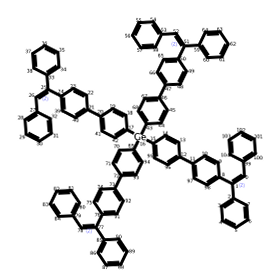 C(=C(\c1ccccc1)c1ccc(-c2cc[c]([Ge]([c]3ccc(-c4ccc(/C(=C\c5ccccc5)c5ccccc5)cc4)cc3)([c]3ccc(-c4ccc(/C(=C\c5ccccc5)c5ccccc5)cc4)cc3)[c]3ccc(-c4ccc(/C(=C\c5ccccc5)c5ccccc5)cc4)cc3)cc2)cc1)/c1ccccc1